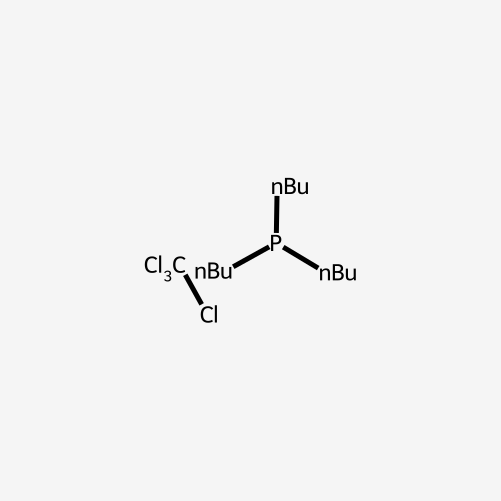 CCCCP(CCCC)CCCC.ClC(Cl)(Cl)Cl